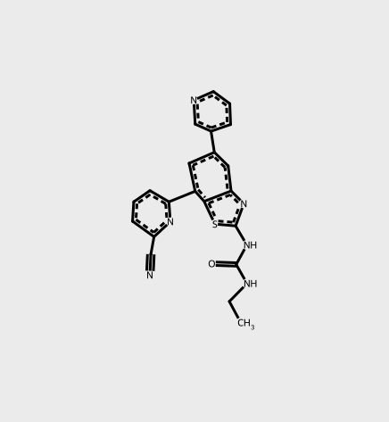 CCNC(=O)Nc1nc2cc(-c3cccnc3)cc(-c3cccc(C#N)n3)c2s1